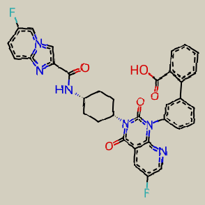 O=C(N[C@H]1CC[C@@H](n2c(=O)c3cc(F)cnc3n(-c3cccc(-c4ccccc4C(=O)O)c3)c2=O)CC1)c1cn2cc(F)ccc2n1